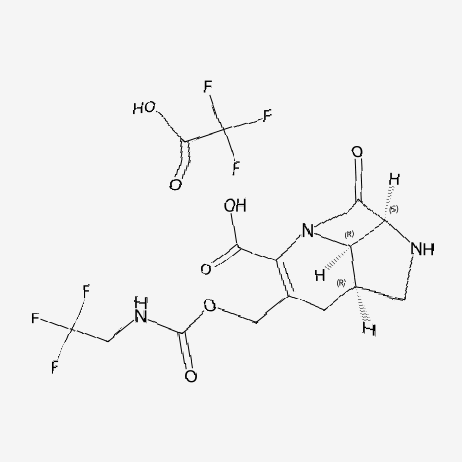 O=C(NCC(F)(F)F)OCC1=C(C(=O)O)N2C(=O)[C@H]3NC[C@@H](C1)[C@H]32.O=C(O)C(F)(F)F